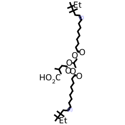 CCC(C)(C)C(C)(C)C/C=C\CCCCCCCC(=O)OCC(COC(=O)CCCCCCC/C=C\CC(C)(C)C(C)(C)CC)OC(=O)CC(C)CC(=O)O